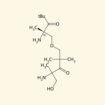 CC(C)(C)C(=O)[C@@](C)(N)COCC(C)(C)C(=O)C(C)(N)CO